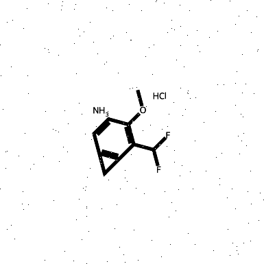 COc1ccc2c(c1C(F)F)C2.Cl.N